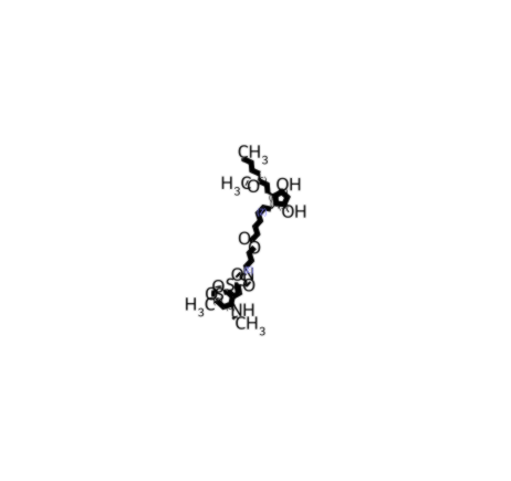 CCCCC[C@@H](CC[C@@H]1[C@@H](C/C=C\CCCC(=O)OCC/C=N/S(=O)(=O)c2cc3c(s2)S(=O)(=O)[C@@H](C)C[C@@H]3NCC)[C@@H](O)C[C@H]1O)OC